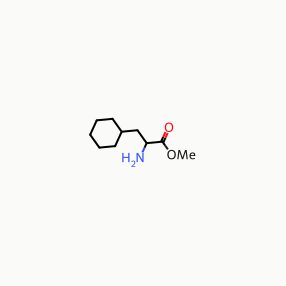 COC(=O)C(N)CC1CCCCC1